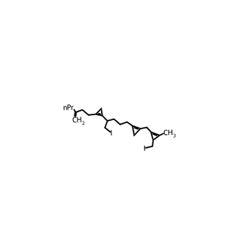 C=C(CCC)CCC1=C(C(CI)CCCC2=C(CC3=C(C)C3CI)C2)C1